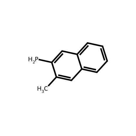 Cc1cc2ccccc2cc1P